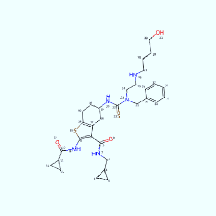 O=C(NCC1CC1)c1c(NC(=O)C2CC2)sc2c1CC(NC(=S)N(CCNCCCCO)Cc1ccccc1)CC2